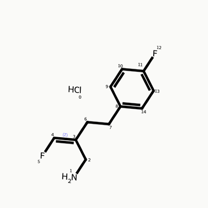 Cl.NC/C(=C\F)CCc1ccc(F)cc1